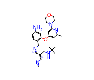 C=N/C=C(\C=N/Cc1ccc(N)cc1Oc1cc(C)nc(N2CCOCC2)c1)CNC(C)(C)C